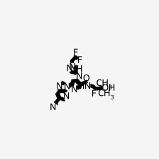 CC(C)(O)C(F)CNC(=O)c1cnc(-n2cnc3cc(C#N)cnc32)cc1Nc1cnn(CC(F)F)c1